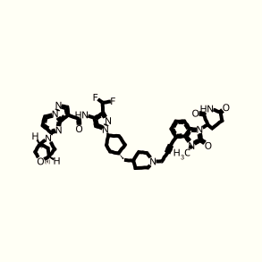 Cn1c(=O)n(C2CCC(=O)NC2=O)c2cccc(C#CCN3CCC(C[C@H]4CC[C@H](n5cc(NC(=O)c6cnn7ccc(N8C[C@H]9C[C@@H]8CO9)nc67)c(C(F)F)n5)CC4)CC3)c21